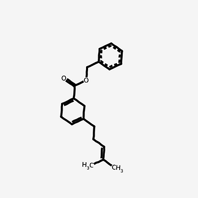 CC(C)=CCCC1=CCC=C(C(=O)OCc2ccccc2)C1